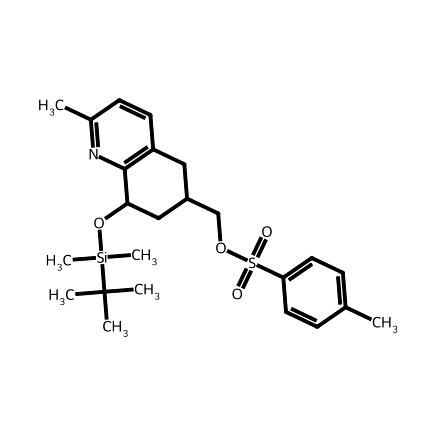 Cc1ccc(S(=O)(=O)OCC2Cc3ccc(C)nc3C(O[Si](C)(C)C(C)(C)C)C2)cc1